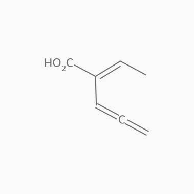 C=C=CC(=CC)C(=O)O